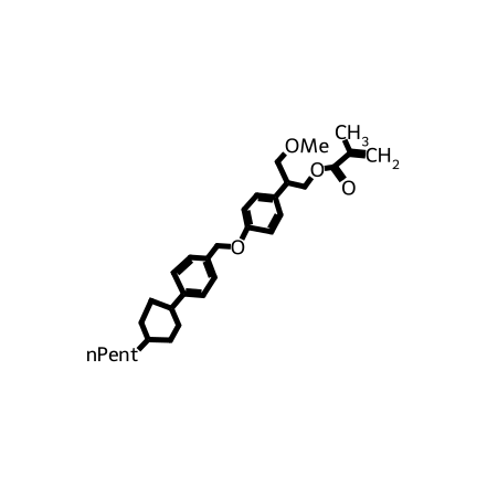 C=C(C)C(=O)OCC(COC)c1ccc(OCc2ccc(C3CCC(CCCCC)CC3)cc2)cc1